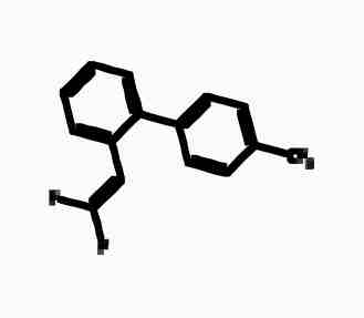 FC(F)=Cc1ccccc1-c1ccc(C(F)(F)F)cc1